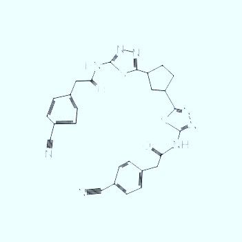 N#Cc1ccc(CC(=O)Nc2nnc(C3CCC(c4nnc(NC(=O)Cc5ccc(C#N)cc5)s4)C3)s2)cc1